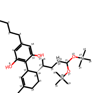 CCCCCc1cc(O)c(C2C=C(C)CC[C@H]2C(C)C[SiH2]C(O[Si](C)(C)C)O[Si](C)(C)C)c(O)c1